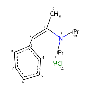 CC(=Cc1ccccc1)N(C(C)C)C(C)C.Cl